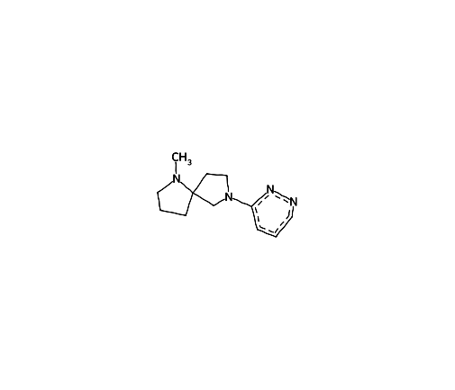 CN1CCCC12CCN(c1cccnn1)C2